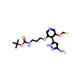 CC(C)(C)OC(=O)NCCCOc1cncc(OCF)c1-c1cc(N)n[nH]1